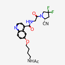 CC(=O)NCCCCOc1ccc2nccc(C(=O)NCC(=O)N3CC(F)(F)C[C@@H]3C#N)c2c1